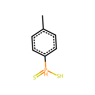 Cc1ccc([PH](=S)S)cc1